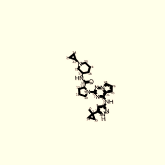 CC1(c2cc(Nc3nc(N4CCC[C@H]4C(=O)N[C@@H]4CCCN(C5CC5)C4)nn4cccc34)n[nH]2)CC1